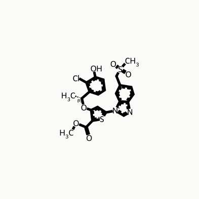 COC(=O)c1sc(-n2cnc3ccc(CS(C)(=O)=O)cc32)cc1O[C@H](C)c1cccc(O)c1Cl